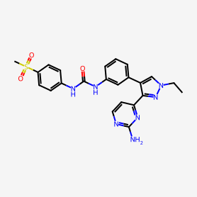 CCn1cc(-c2cccc(NC(=O)Nc3ccc(S(C)(=O)=O)cc3)c2)c(-c2ccnc(N)n2)n1